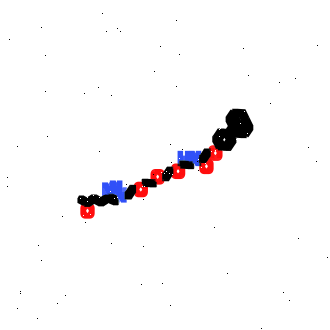 CC(=O)CCc1cn(CCOCCOCCOCCNC(=O)COc2ccc(C34CC5CC(CC(C5)C3)C4)cc2)nn1